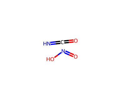 N=C=O.O=NO